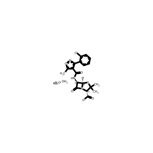 Cc1onc(-c2ccccc2Cl)c1C(=O)N[C@@H]1C(=O)N2[C@@H]1SC(C)(C)[C@@H]2C(=O)[O-].O.O.[Na+]